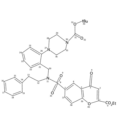 CCOC(=O)c1cc(=O)c2cc(S(=O)(=O)N(CCc3ccccc3)Cc3ccccc3N3CCN(C(=O)OC(C)(C)C)CC3)ccc2o1